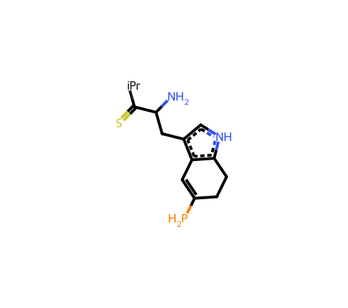 CC(C)C(=S)C(N)Cc1c[nH]c2c1C=C(P)CC2